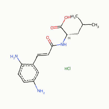 CC(C)C[C@H](NC(=O)C=Cc1cc(N)ccc1N)C(=O)O.Cl